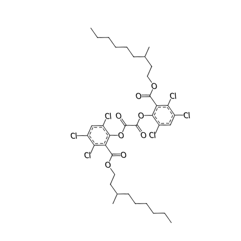 CCCCCCC(C)CCOC(=O)c1c(Cl)c(Cl)cc(Cl)c1OC(=O)C(=O)Oc1c(Cl)cc(Cl)c(Cl)c1C(=O)OCCC(C)CCCCCC